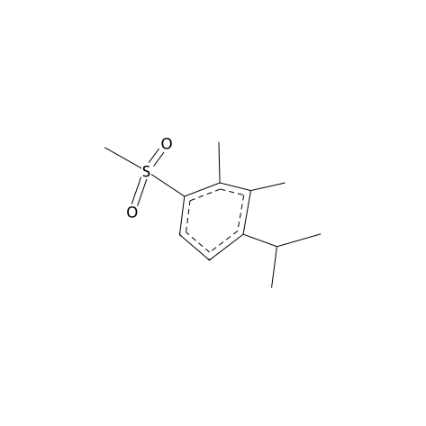 Cc1c(C(C)C)ccc(S(C)(=O)=O)c1C